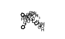 CC(C)(C)[Si](C)(C)O[C@H](c1ccccc1)[C@@H](C=CC(=O)Cc1ccc(NC(=O)O)nc1)NC(=O)OCc1ccccc1